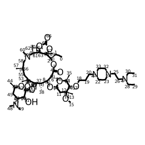 CC[C@H]1OC(=O)[C@H](C)[C@@H](O[C@H]2C[C@@](C)(OC)[C@@H](OCCCN3CCN(CCN(CC)CC)CC3)[C@H](C)O2)[C@H](C)[C@@H](O[C@@H]2O[C@H](C)C[C@H](N(C)C)[C@H]2O)[C@](C)(O)C[C@@H](C)CN(C)[C@H](C)[C@H]2OC(=O)O[C@@]21C